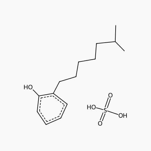 CC(C)CCCCCc1ccccc1O.O=S(=O)(O)O